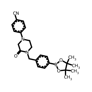 CC1(C)OB(c2ccc(CN3CCN(c4ccc(C#N)cc4)CC3=O)cc2)OC1(C)C